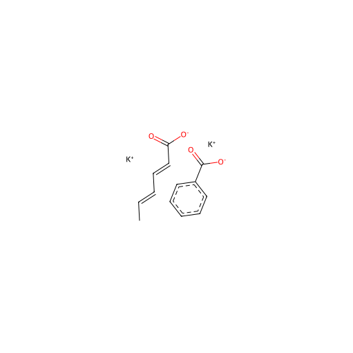 C/C=C/C=C/C(=O)[O-].O=C([O-])c1ccccc1.[K+].[K+]